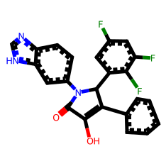 O=C1C(O)=C(c2ccccc2)C(c2cc(F)cc(F)c2F)N1c1ccc2nc[nH]c2c1